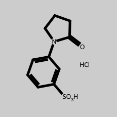 Cl.O=C1CCCN1c1cccc(S(=O)(=O)O)c1